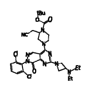 CCN(CC)C1CN(c2nc(N3CCN(C(=O)OC(C)(C)C)C(CC#N)C3)c3cnn(-c4c(Cl)cccc4Cl)c(=O)c3n2)C1